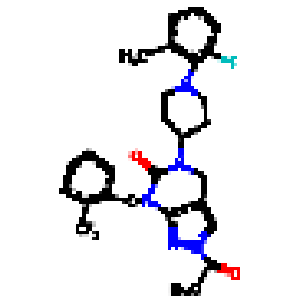 Cc1cccc(F)c1N1CCC(N2Cc3cn(C(=O)OCC(C)C)nc3N(Cc3ccccc3C(F)(F)F)C2=O)CC1